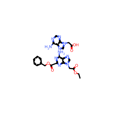 CCOC(=O)Cn1cnc2c(N)nc(C(=O)OCc3ccccc3)nc21.Nc1ncnc2c1ncn2CC(=O)O